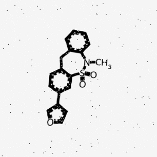 CN1c2ccccc2Cc2ccc(-c3ccoc3)cc2S1(=O)=O